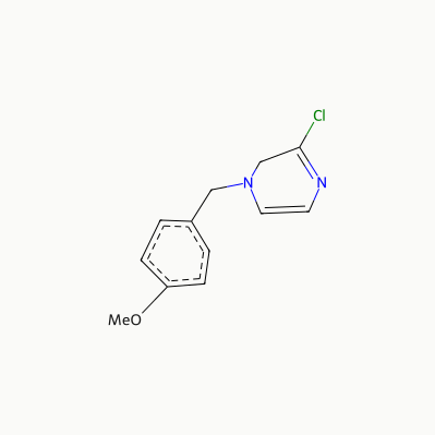 COc1ccc(CN2C=CN=C(Cl)C2)cc1